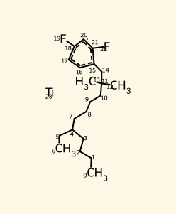 CCCCC(CC)CCCCC(C)(C)Cc1ccc(F)[c]c1F.[Ti]